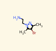 Cc1nn(CCN)c(C)c1Br